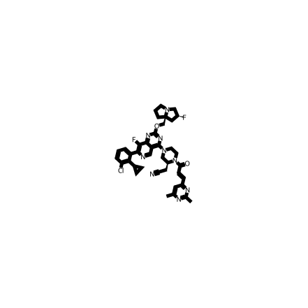 Cc1cc(/C=C/C(=O)N2CCN(c3nc(OC[C@@]45CCCN4C[C@H](F)C5)nc4c(F)c(-c5cccc(Cl)c5C5CC5)ncc34)C[C@@H]2CC#N)nc(C)n1